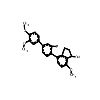 COc1ccc(-c2ccc(-c3ccc(OC)c4c3CCC4O)c(F)c2)cc1OC